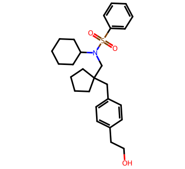 O=S(=O)(c1ccccc1)N(CC1(Cc2ccc(CCO)cc2)CCCC1)C1CCCCC1